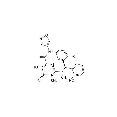 C[C@H](c1nc(C(=O)Nc2cnoc2)c(O)c(=O)n1C)[C@@H](c1ccccc1Cl)c1ccccc1C#N